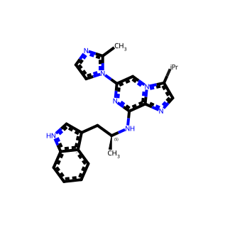 Cc1nccn1-c1cn2c(C(C)C)cnc2c(N[C@@H](C)Cc2c[nH]c3ccccc23)n1